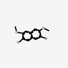 COc1cc2cc(OC)c(Br)cc2cc1Cl